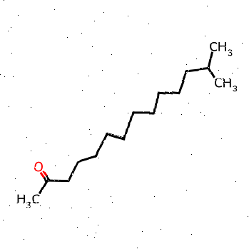 CC(=O)CCCCCCCCCCC(C)C